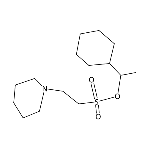 CC(OS(=O)(=O)CCN1CCCCC1)C1CCCCC1